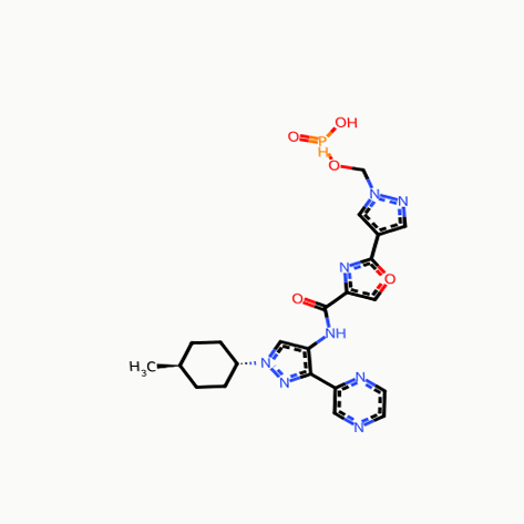 C[C@H]1CC[C@H](n2cc(NC(=O)c3coc(-c4cnn(CO[PH](=O)O)c4)n3)c(-c3cnccn3)n2)CC1